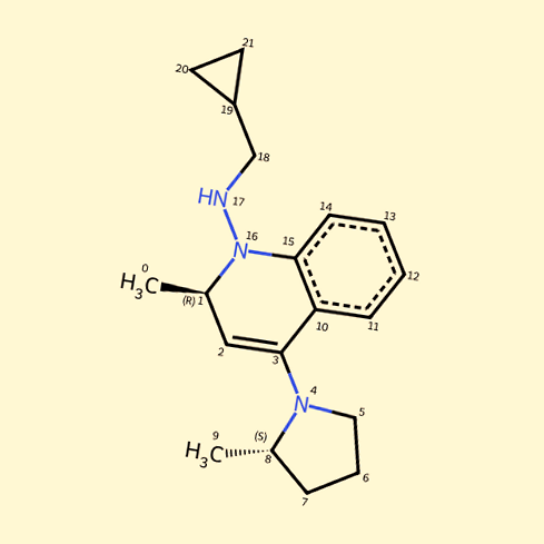 C[C@@H]1C=C(N2CCC[C@@H]2C)c2ccccc2N1NCC1CC1